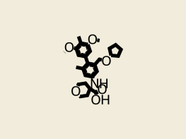 COc1cc(-c2c(C)cc(NC3(C(=O)O)CCOCC3)cc2COC2CCCC2)cc(OC)c1C